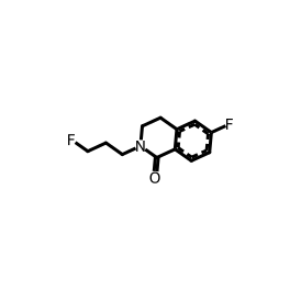 O=C1c2ccc(F)cc2CCN1CCCF